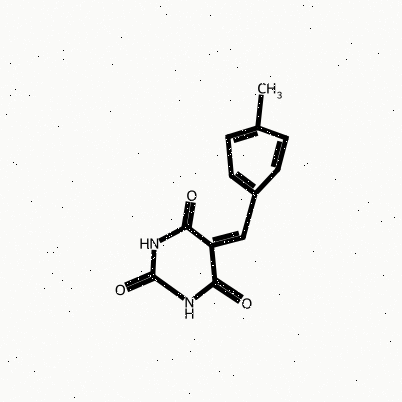 Cc1ccc(C=C2C(=O)NC(=O)NC2=O)cc1